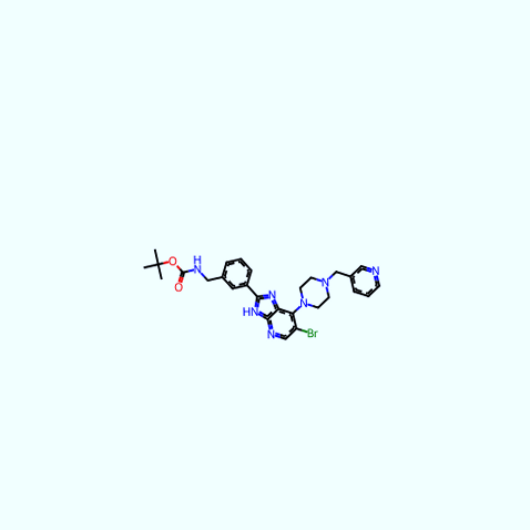 CC(C)(C)OC(=O)NCc1cccc(-c2nc3c(N4CCN(Cc5cccnc5)CC4)c(Br)cnc3[nH]2)c1